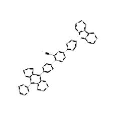 N#Cc1cc(-c2ccc(-n3c4ccccc4c4ccccc43)cc2)ccc1-c1ccc(-c2c3ccccc3c(-c3ccccc3)c3ccccc23)cc1